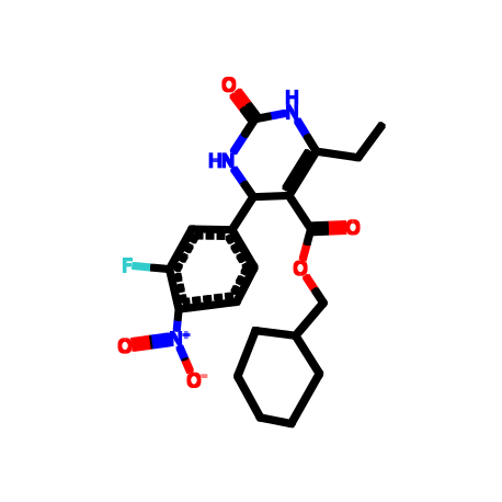 CCC1=C(C(=O)OCC2CCCCC2)C(c2ccc([N+](=O)[O-])c(F)c2)NC(=O)N1